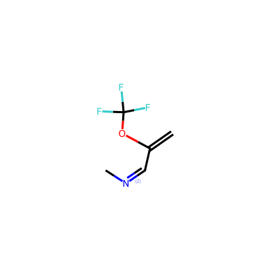 C=C(/C=N\C)OC(F)(F)F